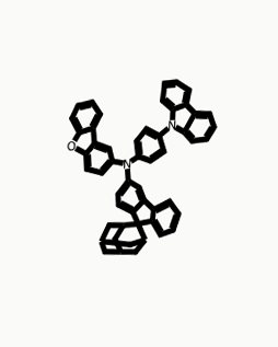 c1ccc2c(c1)-c1cc(N(c3ccc(-n4c5ccccc5c5ccccc54)cc3)c3ccc4oc5ccccc5c4c3)ccc1C21C2CC3CC(C2)CC1C3